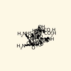 CC(C)C[C@H](NC(=O)[C@@H](NC(=O)[C@H](Cc1c[nH]cn1)NC(=O)CNC(=O)[C@H](C)NC(=O)[C@H](CCCCN)NC(=O)[C@H](CCCCN)NC(=O)[C@@H](N)CS)C(C)C)C(=O)N[C@@H](CO)C(=O)N[C@@H](CC(=O)O)C(=O)O